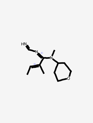 C/C=C(C)/C(=N\C=N)N(C)C1CCOCC1